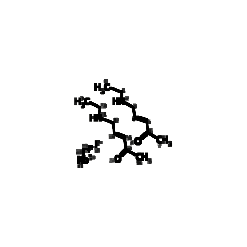 CCNCC=CC(C)=O.CCNCC=CC(C)=O.[F-].[F-].[F-].[Nb+3]